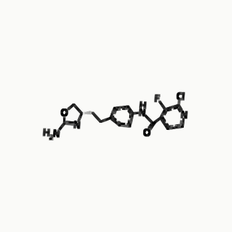 NC1=N[C@@H](CCc2ccc(NC(=O)c3ccnc(Cl)c3F)cc2)CO1